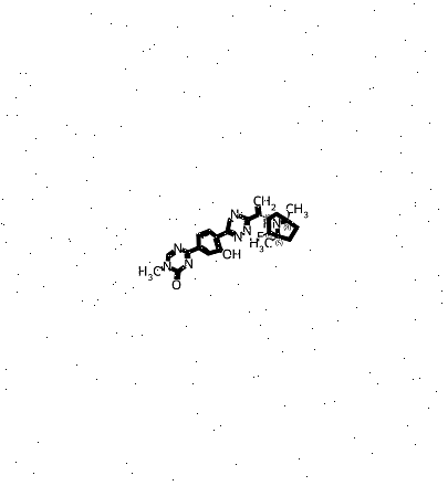 C=C(c1ncc(-c2ccc(-c3ncn(C)c(=O)n3)cc2O)nn1)[C@@H]1C[C@@]2(C)CC[C@](C)(N2)[C@@H]1F